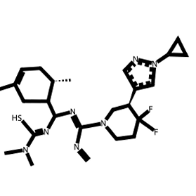 C=NC(=NC(/N=C(\S)N(C)C)C1CC(F)=CC[C@@H]1C)N1CCC(F)(F)[C@H](c2cnn(C3CC3)c2)C1